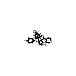 CN(C(=O)Oc1ccc(F)cc1)[C@]1(C(=O)C2CCOCC2)CNC[C@@]1(C)c1ccc(Cl)cc1